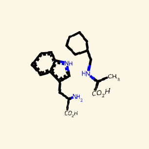 CC(NCC1CCCCC1)C(=O)O.NC(Cc1c[nH]c2ccccc12)C(=O)O